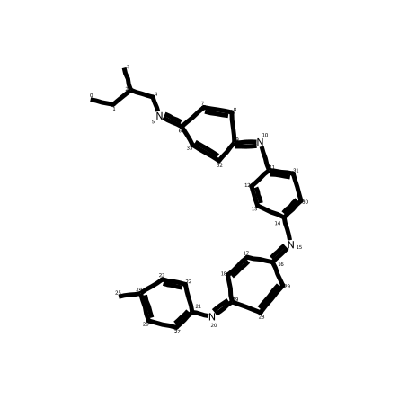 CCC(C)CN=C1C=CC(=Nc2ccc(N=C3C=CC(=Nc4ccc(C)cc4)C=C3)cc2)C=C1